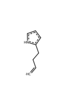 [CH]=CCCc1ccc[nH]1